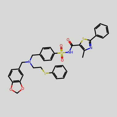 Cc1nc(-c2ccccc2)sc1C(=O)NS(=O)(=O)c1ccc(CN(CCSc2ccccc2)Cc2ccc3c(c2)OCO3)cc1